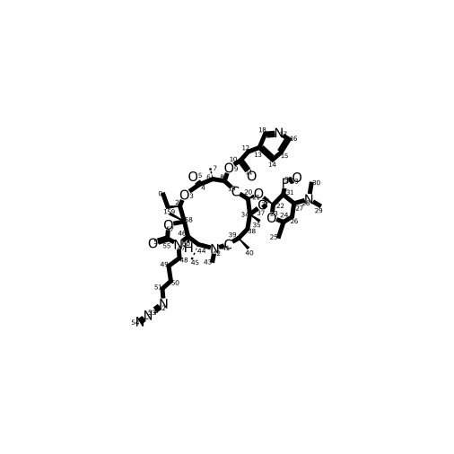 CC[C@H]1OC(=O)[C@H](C)C(OC(=O)Cc2cccnc2)C[C@@H](O[C@@H]2OC(C)CC(N(C)C)C2P=O)[C@](C)(OC)C[C@@H](C)CN(C)[C@H](C)[C@H]2N(CCCCN=[N+]=[N-])C(=O)O[C@]12C